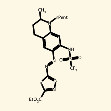 CCCCCN1c2cc(NS(=O)(=O)C(F)(F)F)c(N=Nc3nnc(C(=O)OCC)s3)cc2CCC1C